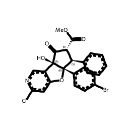 COC(=O)[C@H]1C(=O)[C@@]2(O)c3cnc(Cl)cc3O[C@@]2(c2ccc(Br)cc2)[C@@H]1c1ccccc1